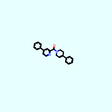 O=C(c1cc(-c2ccccc2)ccn1)N1CC=C(c2ccccc2)CC1